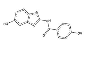 O=C(Nc1nc2ccc(O)cc2s1)c1ccc(O)cc1